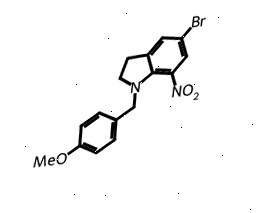 COc1ccc(CN2CCc3cc(Br)cc([N+](=O)[O-])c32)cc1